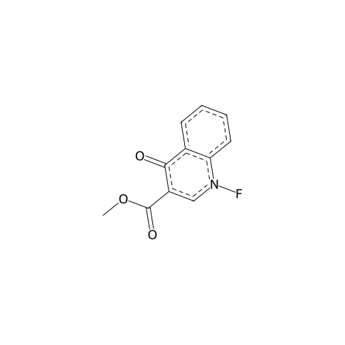 COC(=O)c1cn(F)c2ccccc2c1=O